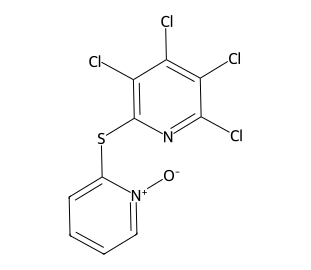 [O-][n+]1ccccc1Sc1nc(Cl)c(Cl)c(Cl)c1Cl